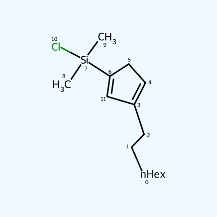 CCCCCCCCC1=CCC([Si](C)(C)Cl)=C1